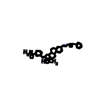 C[C@]12CCC3c4ccc(/C=C/COCc5ccccc5)cc4CCC3C1C/C(=C\c1cccc(C(N)=O)c1)[C@@H]2O